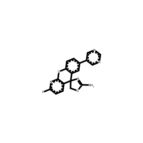 NC1=NC2(CO1)c1cc(-c3cncnc3)ccc1Oc1nc(F)ccc12